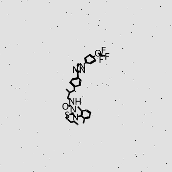 Cc1cccc(C)c1N1/C(=N/C(=O)NCC(C)Cc2ccc(-c3ncn(-c4ccc(OC(F)(F)F)cc4)n3)cc2)SCCC1C